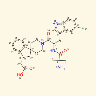 CC(C)(N)C(=O)NC(Cc1c[nH]c2ccc(F)cc12)C(=O)N1CCC2(CC1)C[C@H](CC(=O)O)c1ccccc12